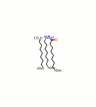 CCCCCCCCCCCCCCCCCC(=O)O.CCCCCCCCCCCCCCCCCC(=O)O.CCCCCCCCCCCCCCCCCC(N)=O